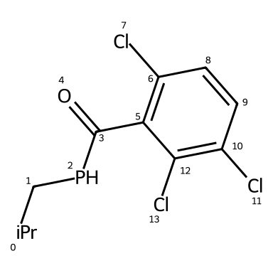 CC(C)CPC(=O)c1c(Cl)ccc(Cl)c1Cl